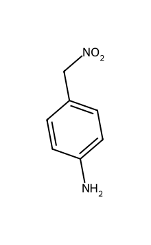 Nc1ccc(C[N+](=O)[O-])cc1